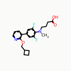 CN(CCCC(=O)O)c1c(F)cc(-c2cccnc2OCC2CCC2)cc1F